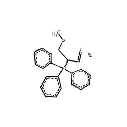 COCC(C=O)[P+](c1ccccc1)(c1ccccc1)c1ccccc1.[Br-]